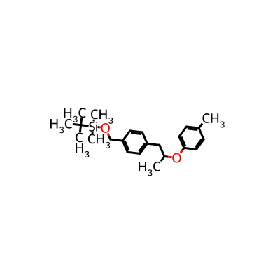 Cc1ccc(OC(C)Cc2ccc(CO[Si](C)(C)C(C)(C)C)cc2)cc1